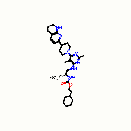 Cc1nc(NC[C@H](NC(=O)OCCC2CCCCC2)C(=O)O)c(C)c(N2CCC(c3ccc4c(n3)NCCC4)CC2)n1